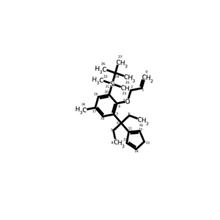 C=CCOc1c(C(CC)(CC)C2=CCC=C2)cc(C)cc1[Si](C)(C)C(C)(C)C